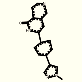 Cn1cc(-c2ccc(-c3cc4cnccc4c(=O)[nH]3)cc2)cn1